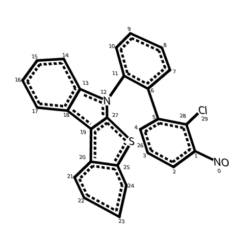 O=[N+]([O-])c1cccc(-c2ccccc2-n2c3ccccc3c3c4ccccc4sc32)c1Cl